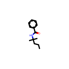 CCCC(C)(C)NC(=O)c1ccccc1